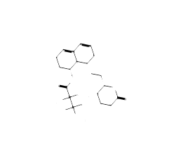 CC(F)(F)C(C)(C)C(=O)O[C@H]1CCC=C2C=CC[C@H](CC[C@@H]3C[C@@H](O)CC(=O)O3)[C@]21C